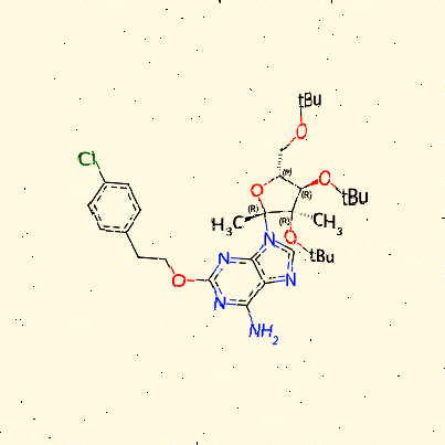 CC(C)(C)OC[C@H]1O[C@@](C)(n2cnc3c(N)nc(OCCc4ccc(Cl)cc4)nc32)[C@](C)(OC(C)(C)C)[C@@H]1OC(C)(C)C